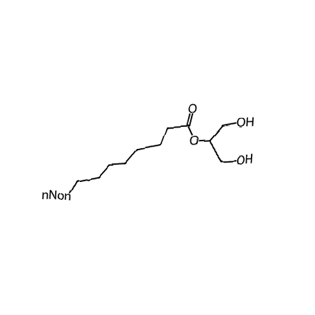 CCCCCCCCCCCCCCCCC(=O)OC(CO)CO